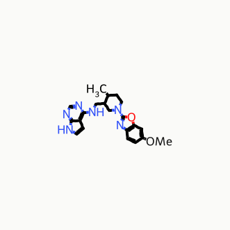 COc1ccc2nc(N3CCC(C)C(CNc4ncnc5[nH]ccc45)C3)oc2c1